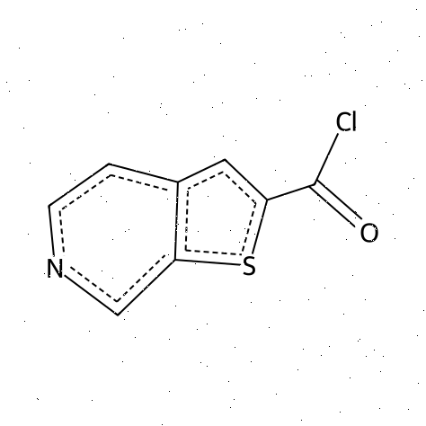 O=C(Cl)c1cc2ccncc2s1